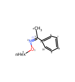 CCCCCCO/N=C(/C)c1cc[c]cc1